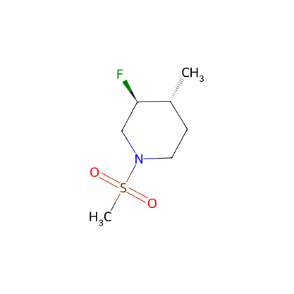 C[C@@H]1CCN(S(C)(=O)=O)C[C@H]1F